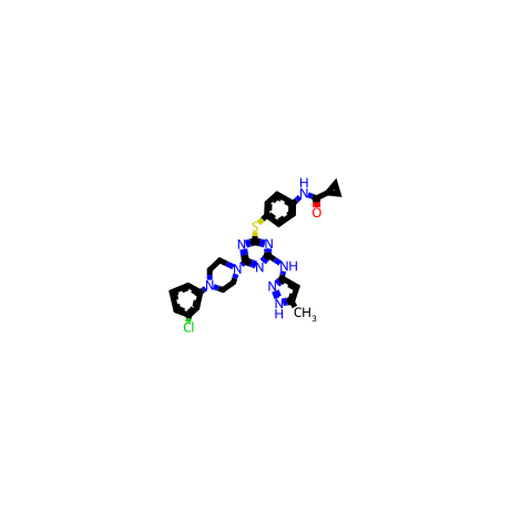 Cc1cc(Nc2nc(Sc3ccc(NC(=O)C4CC4)cc3)nc(N3CCN(c4cccc(Cl)c4)CC3)n2)n[nH]1